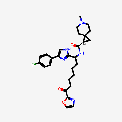 CN1CCC2(CC1)C[C@@H]2C(=O)NC(CCCCCC(=O)c1ncco1)c1nc(-c2ccc(F)cc2)c[nH]1